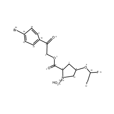 O=C(COC(=O)C1CC(OC(F)F)CN1C(=O)O)c1ccc(Br)cc1